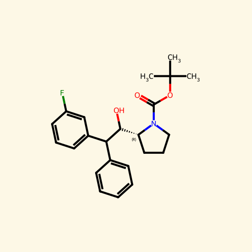 CC(C)(C)OC(=O)N1CCC[C@@H]1C(O)C(c1ccccc1)c1cccc(F)c1